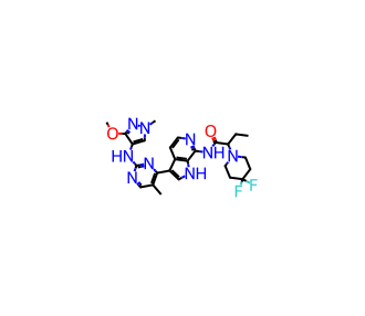 CCC(C(=O)Nc1nccc2c(-c3nc(Nc4cn(C)nc4OC)ncc3C)c[nH]c12)N1CCC(F)(F)CC1